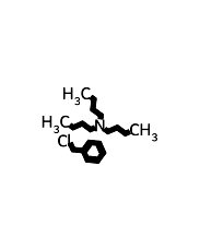 CCCCN(CCCC)CCCC.ClCc1ccccc1